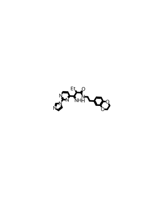 CCC(C(=N)c1ccnc(-n2ccnc2)n1)C(=O)NCCc1ccc2c(c1)OCCO2